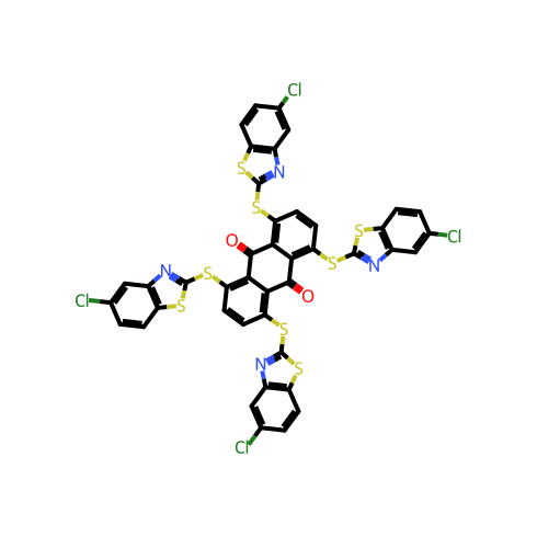 O=C1c2c(Sc3nc4cc(Cl)ccc4s3)ccc(Sc3nc4cc(Cl)ccc4s3)c2C(=O)c2c(Sc3nc4cc(Cl)ccc4s3)ccc(Sc3nc4cc(Cl)ccc4s3)c21